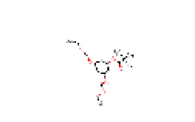 CCC(C)(C)C(=O)OC1CC(OCOCC(C)(C)C)CC(OCOCC(C)(C)C)C1